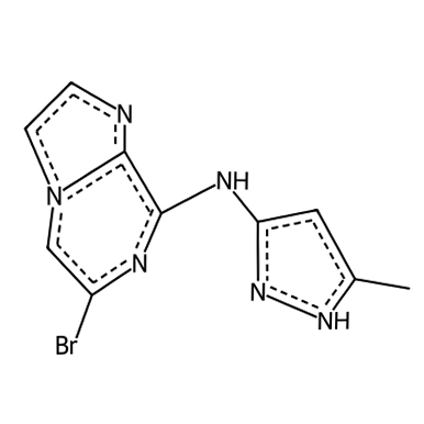 Cc1cc(Nc2nc(Br)cn3ccnc23)n[nH]1